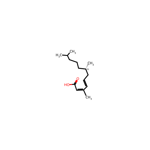 CC(C=CC[C@@H](C)CCCC(C)C)=CC(=O)O